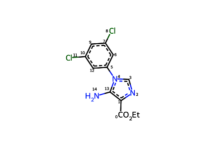 CCOC(=O)c1ncn(-c2cc(Cl)cc(Cl)c2)c1N